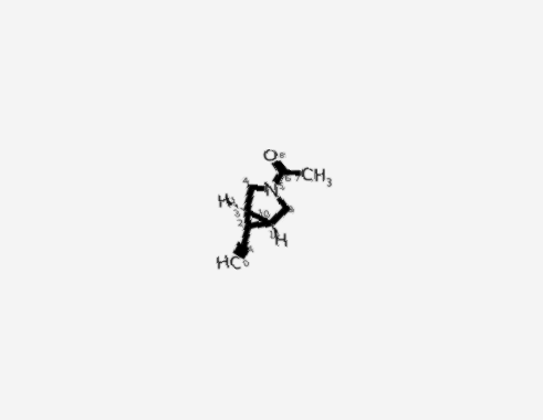 C#CC1[C@H]2CN(C(C)=O)C[C@@H]12